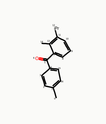 Cc1ccc(C(=O)c2cccc(C(C)C)c2C)cc1